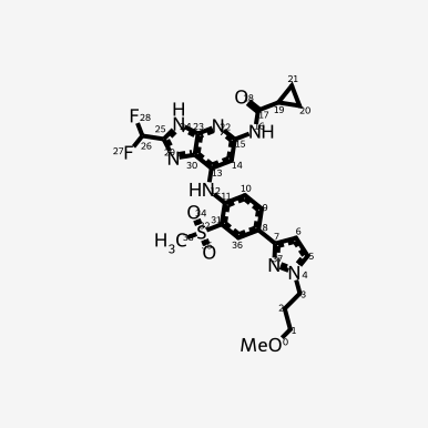 COCCCn1ccc(-c2ccc(Nc3cc(NC(=O)C4CC4)nc4[nH]c(C(F)F)nc34)c(S(C)(=O)=O)c2)n1